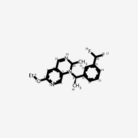 CCOc1cc2c(cn1)N([C@H](C)c1cccc(C(F)F)c1)C(C)N=C2